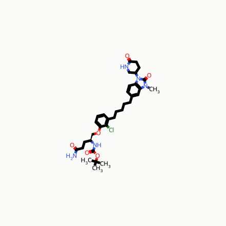 Cn1c(=O)n(C2CCC(=O)NC2)c2ccc(CCCCCc3cccc(OC[C@H](CCC(N)=O)NC(=O)OC(C)(C)C)c3Cl)cc21